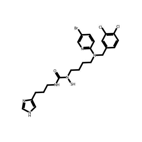 O=C(NCCCc1c[nH]cn1)N(S)CCCCN(Cc1ccc(Cl)c(Cl)c1)c1ccc(Br)cn1